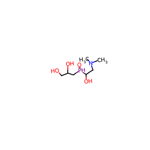 CN(C)CC(O)[PH](=O)CC(O)CO